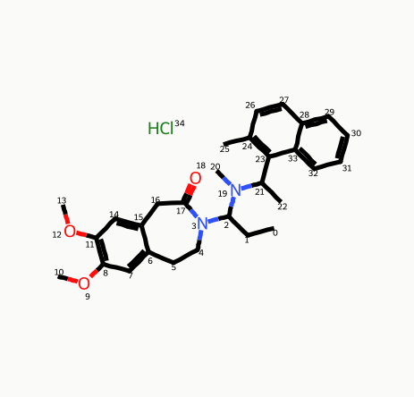 CCC(N1CCc2cc(OC)c(OC)cc2CC1=O)N(C)C(C)c1c(C)ccc2ccccc12.Cl